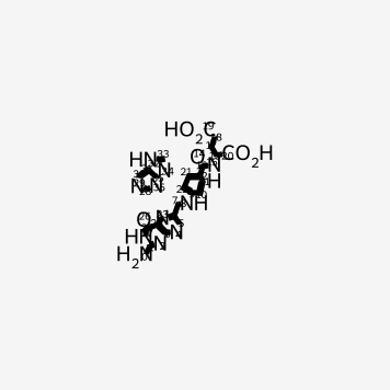 Nc1nc2ncc(CNc3ccc(C(=O)NC(CCC(=O)O)C(=O)O)cc3)nc2c(=O)[nH]1.c1ncc2[nH]cnc2n1